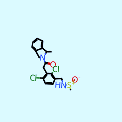 CC1c2ccccc2CN1C(=O)Cc1c(Cl)ccc(CN[S+](C)[O-])c1Cl